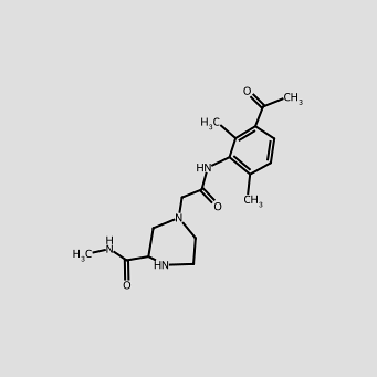 CNC(=O)C1CN(CC(=O)Nc2c(C)ccc(C(C)=O)c2C)CCN1